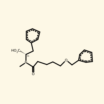 CN(C(=O)CCCCOCc1ccccc1)[C@@H](Cc1ccccc1)C(=O)O